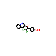 O=C(c1cnc2ccccc2c1)C(c1ccc(O)cc1)C(Cl)Cl